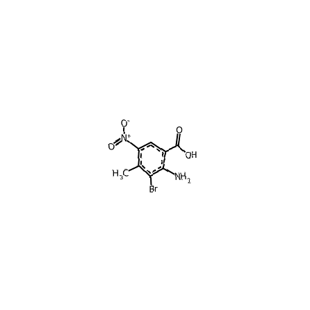 Cc1c([N+](=O)[O-])cc(C(=O)O)c(N)c1Br